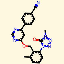 Cc1cccc(-n2nnn(C)c2=O)c1COc1cc(-c2ccc(C#N)cc2)ncn1